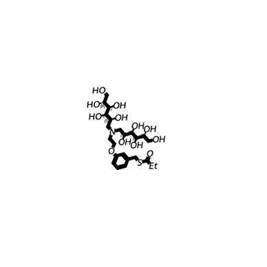 CCC(=O)SCc1cccc(OCCN(C[C@H](O)[C@@H](O)[C@H](O)[C@H](O)CO)C[C@H](O)[C@@H](O)[C@H](O)[C@H](O)CO)c1